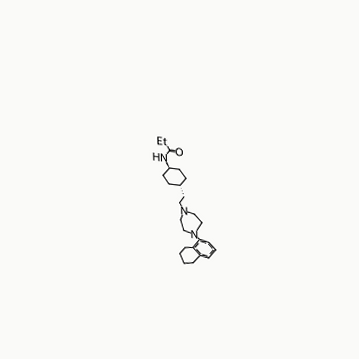 CCC(=O)N[C@H]1CC[C@H](CCN2CCN(c3cccc4c3CCCC4)CC2)CC1